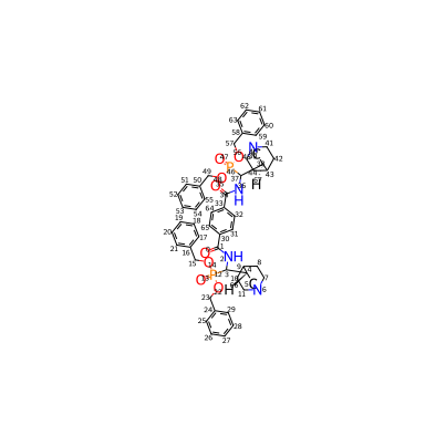 O=C(NC([C@H]1CN2CCC1CC2)P(=O)(OCc1ccccc1)OCc1ccccc1)c1ccc(C(=O)NC([C@H]2CN3CCC2CC3)P(=O)(OCc2ccccc2)OCc2ccccc2)cc1